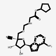 N#C[C@]1(COCNCC(=O)OC2CCCC2)O[C@@H](c2ccc3c(N)ncnn23)[C@H](O)[C@@H]1O